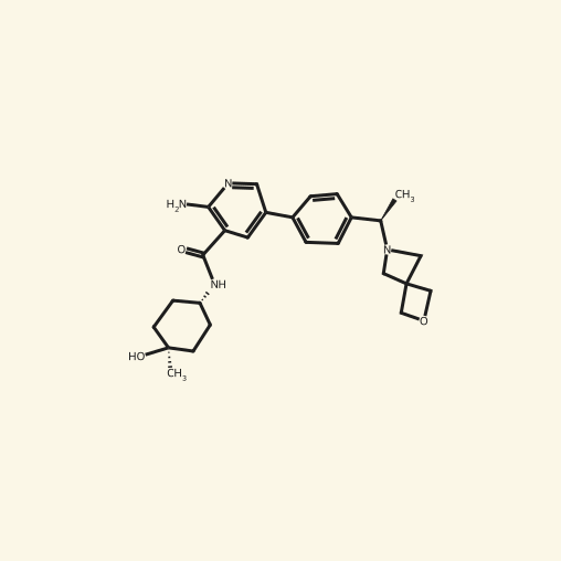 C[C@H](c1ccc(-c2cnc(N)c(C(=O)N[C@H]3CC[C@](C)(O)CC3)c2)cc1)N1CC2(COC2)C1